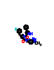 Cn1nnc2cc(CNC(=O)[C@@H]3C[C@@H](Cc4cccc(F)c4)CN3C(=O)[C@H]3C[C@@H](c4ccccc4)CN3)ccc21